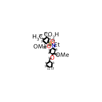 CCN(c1ccc(OCc2ccccc2)c(OC)c1)S(=O)(=O)c1cc(C(=O)O)c(C)cc1OC